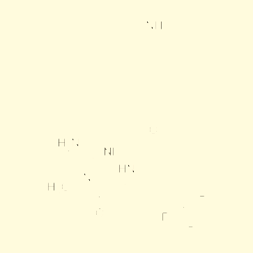 CN(C(=N)N)C(=O)c1cc2c(C(F)(F)F)ccc(OCc3ccc(CN)cc3)c2[nH]1